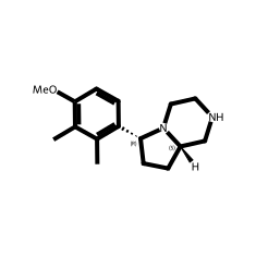 COc1ccc([C@H]2CC[C@H]3CNCCN32)c(C)c1C